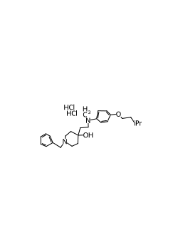 CC(C)CCOc1ccc(N(C)CCC2(O)CCN(Cc3ccccc3)CC2)cc1.Cl.Cl